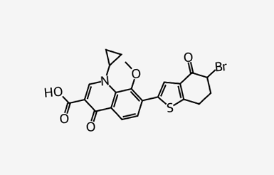 COc1c(-c2cc3c(s2)CCC(Br)C3=O)ccc2c(=O)c(C(=O)O)cn(C3CC3)c12